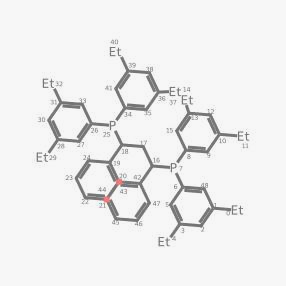 CCc1cc(CC)cc(P(c2cc(CC)cc(CC)c2)C(CC(c2ccccc2)P(c2cc(CC)cc(CC)c2)c2cc(CC)cc(CC)c2)c2ccccc2)c1